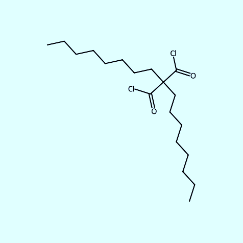 CCCCCCCCC(CCCCCCCC)(C(=O)Cl)C(=O)Cl